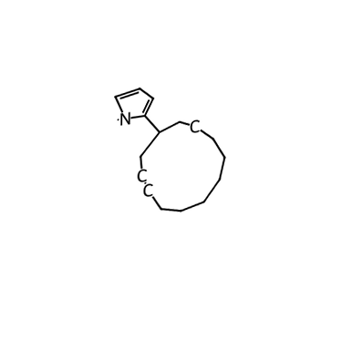 C1=C[N]C(C2CCCCCCCCCCC2)=C1